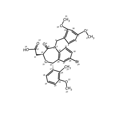 COc1ccc(CN2C(=O)[C@H](CC(=O)O)O[C@@H](c3cccc(OC)c3C)c3cc(Br)ccc32)c(OC)c1